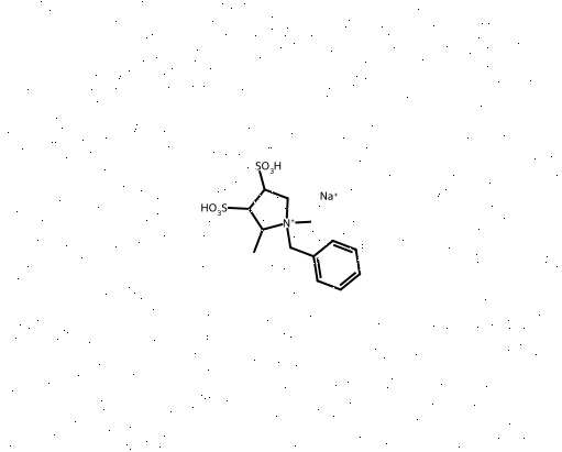 CC1C(S(=O)(=O)O)C(S(=O)(=O)O)C[N+]1(C)Cc1ccccc1.[Na+]